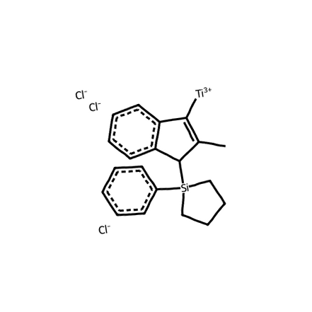 CC1=[C]([Ti+3])c2ccccc2C1[Si]1(c2ccccc2)CCCC1.[Cl-].[Cl-].[Cl-]